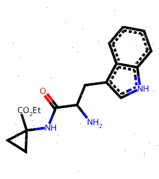 CCOC(=O)C1(NC(=O)C(N)Cc2c[nH]c3ccccc23)CC1